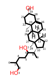 CC(CO)CCC(O)C(C)[C@H]1CC[C@H]2[C@@H]3CC=C4C[C@@H](O)CC[C@]4(C)[C@H]3CC[C@]12C